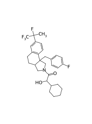 CC(F)(c1ccc2c(c1)CCC1CN(C(=O)C(O)C3CCCCC3)CC21Cc1ccc(F)cc1)C(F)(F)F